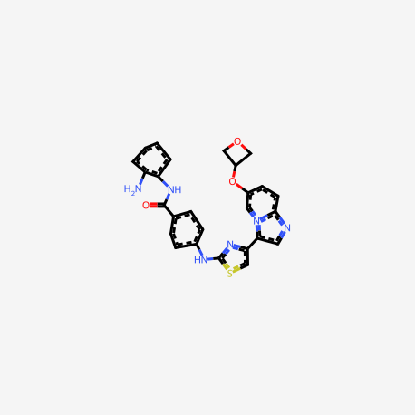 Nc1ccccc1NC(=O)c1ccc(Nc2nc(-c3cnc4ccc(OC5COC5)cn34)cs2)cc1